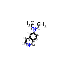 CCN(CC)c1ccc2c(c1)C=C[N]C2